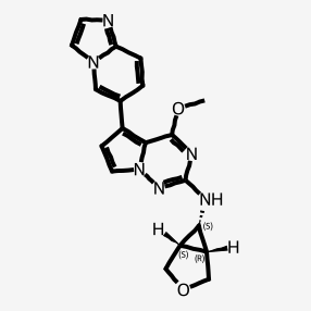 COc1nc(N[C@@H]2[C@@H]3COC[C@@H]32)nn2ccc(-c3ccc4nccn4c3)c12